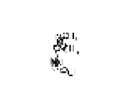 COc1cc(/C=C/c2nc3n(n2)CCC[C@H]3c2ccc(Cl)cc2)ccc1-n1cnc(C)c1